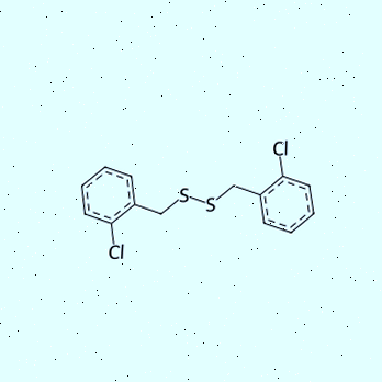 Clc1ccccc1CSSCc1ccccc1Cl